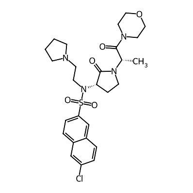 C[C@@H](C(=O)N1CCOCC1)N1CC[C@H](N(CCN2CCCC2)S(=O)(=O)c2ccc3cc(Cl)ccc3c2)C1=O